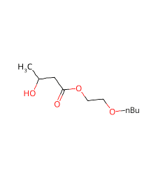 CCCCOCCOC(=O)CC(C)O